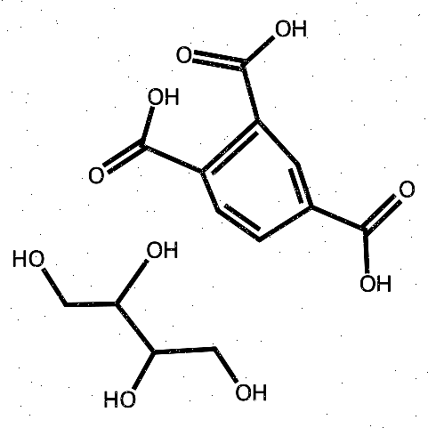 O=C(O)c1ccc(C(=O)O)c(C(=O)O)c1.OCC(O)C(O)CO